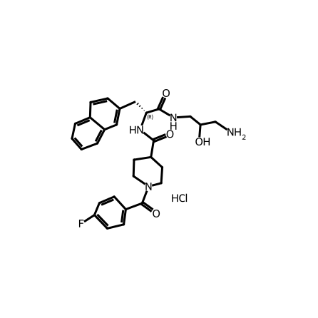 Cl.NCC(O)CNC(=O)[C@@H](Cc1ccc2ccccc2c1)NC(=O)C1CCN(C(=O)c2ccc(F)cc2)CC1